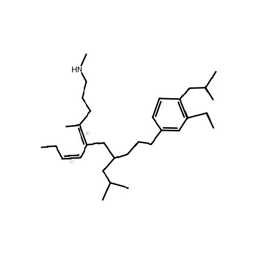 CC/C=C\C(CC(CCCc1ccc(CC(C)C)c(CC)c1)CC(C)C)=C(/C)CCCNC